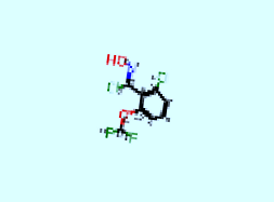 O/N=C(\Cl)c1c(Cl)cccc1OC(F)F